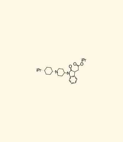 CC(C)OC(=O)CC1C(=O)N(C2CCN([C@H]3CC[C@@H](C(C)C)CC3)CC2)c2ccccc21